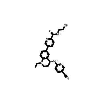 CCN1CC[C@@H](Nc2ccc(C#N)cn2)c2cc(-c3ccc(C(=O)NCCO)nc3)ccc21